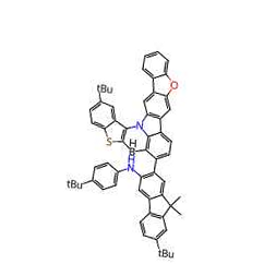 CC(C)(C)c1ccc(Nc2cc3c(cc2-c2ccc4c5cc6oc7ccccc7c6cc5n5c4c2Bc2sc4ccc(C(C)(C)C)cc4c2-5)C(C)(C)c2cc(C(C)(C)C)ccc2-3)cc1